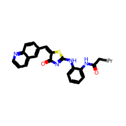 CC(C)CC(=O)Nc1ccccc1NC1=NC(=O)C(=Cc2ccc3ncccc3c2)S1